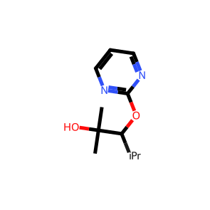 CC(C)C(Oc1ncccn1)C(C)(C)O